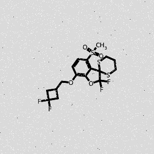 CS(=O)(=O)c1ccc(OCC2CC(F)(F)C2)c2c1C1(SCCCS1)C(F)(F)O2